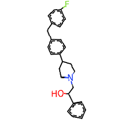 OC(CN1CCC(c2ccc(Cc3ccc(F)cc3)cc2)CC1)c1ccccc1